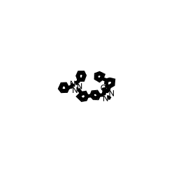 c1ccc(-c2nc(-c3ccccc3)nc(-c3cccc(-c4ccc(-c5ncnc6c5oc5c(-c7ccccc7)cccc56)cc4)c3)n2)cc1